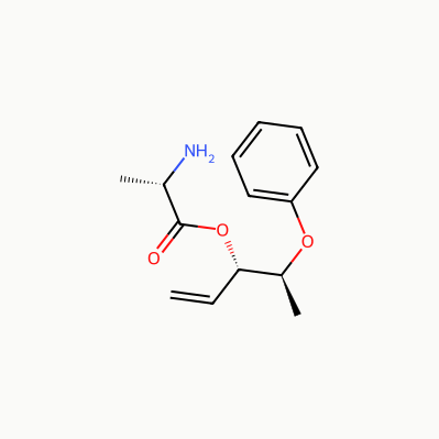 C=C[C@H](OC(=O)[C@H](C)N)[C@H](C)Oc1ccccc1